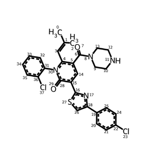 CC(C)=Cc1c(C(=O)N2CCNCC2)cc(-c2nc(-c3ccc(Cl)cc3)cs2)c(=O)n1-c1ccccc1Cl